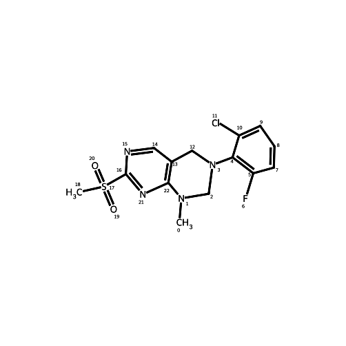 CN1CN(c2c(F)cccc2Cl)Cc2cnc(S(C)(=O)=O)nc21